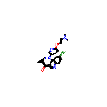 CN(C)CCOc1ccc(Nc2c(C(=O)C3CC3)cnc3ccc(Br)cc23)cn1